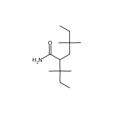 CCC(C)(C)CC(C(N)=O)C(C)(C)CC